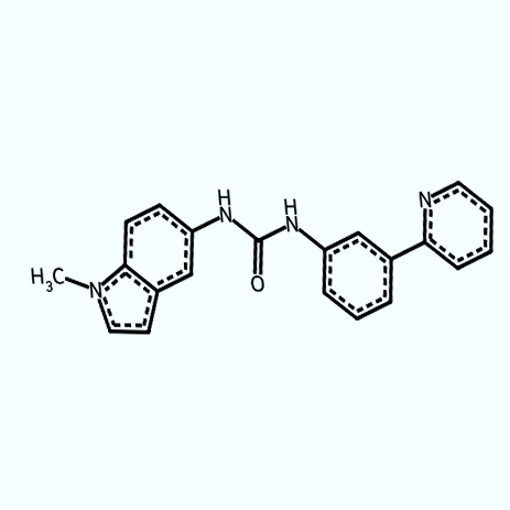 Cn1ccc2cc(NC(=O)Nc3cccc(-c4ccccn4)c3)ccc21